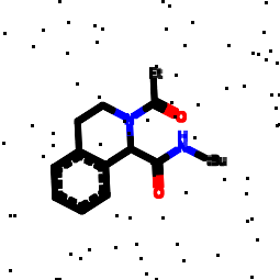 CCC(=O)N1CCc2ccccc2C1C(=O)NC(C)(C)C